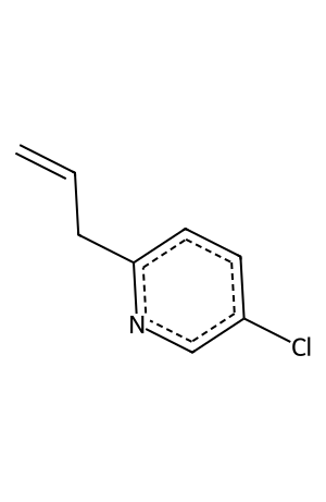 C=CCc1ccc(Cl)cn1